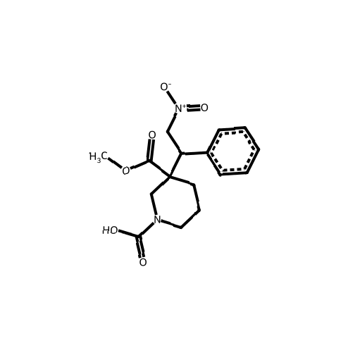 COC(=O)C1(C(C[N+](=O)[O-])c2ccccc2)CCCN(C(=O)O)C1